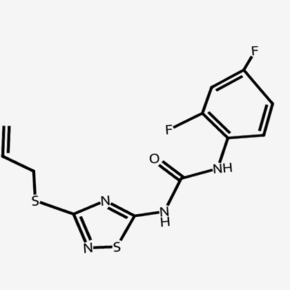 C=CCSc1nsc(NC(=O)Nc2ccc(F)cc2F)n1